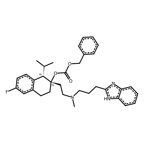 CC(C)[C@H]1c2ccc(F)cc2CC[C@@]1(CCN(C)CCCc1nc2ccccc2[nH]1)OC(=O)OCc1ccccc1